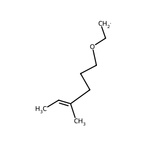 [CH2]COCCCC(C)=CC